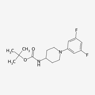 CC(C)(C)OC(=O)NC1CCN(c2cc(F)cc(F)c2)CC1